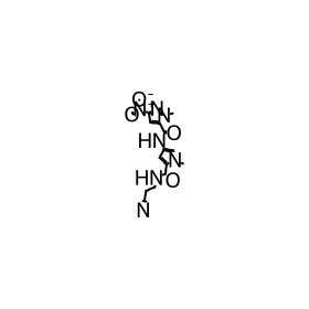 Cn1cc(NC(=O)c2cc([N+](=O)[O-])nn2C)cc1C(=O)NCCC#N